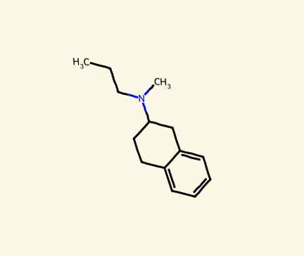 CCCN(C)C1CCc2ccccc2C1